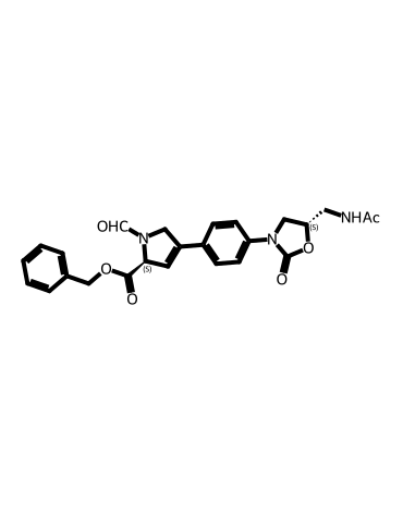 CC(=O)NC[C@H]1CN(c2ccc(C3=C[C@@H](C(=O)OCc4ccccc4)N(C=O)C3)cc2)C(=O)O1